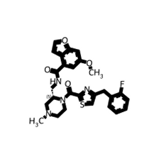 COc1cc(C(=O)NC[C@H]2CN(C)CCN2C(=O)c2nc(Cc3ccccc3F)cs2)c2ccoc2c1